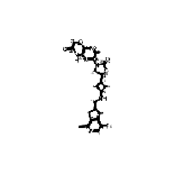 Cc1ncc(F)c2c1CC(CNC1CC(C3CN(c4cnc5c(n4)NC(=O)CO5)C(=O)O3)C1)C2